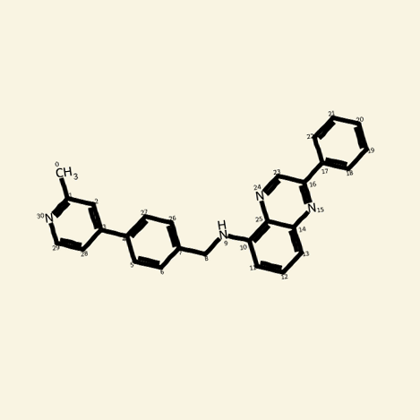 Cc1cc(-c2ccc(CNc3cccc4nc(-c5ccccc5)cnc34)cc2)ccn1